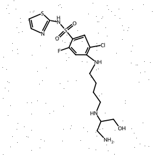 NCC(CO)NCCCCNc1cc(F)c(S(=O)(=O)Nc2nccs2)cc1Cl